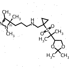 CC1=NN(C)[C@@]1(C)CCCNCC1(S(=O)(=O)C(C)(C)C2COC(C)(C)O2)CC1